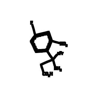 CCCC(N)(CC(=O)O)c1ccc(F)cc1[N+](=O)[O-]